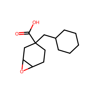 O=C(O)C1(CC2CCCCC2)CCC2OC2C1